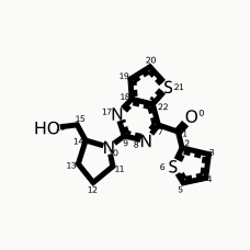 O=C(c1cccs1)c1nc(N2CCCC2CO)nc2ccsc12